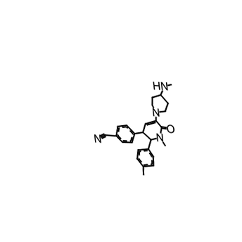 CNC1CCN(C2=CC(c3ccc(C#N)cc3)C(c3ccc(C)cc3)N(C)C2=O)CC1